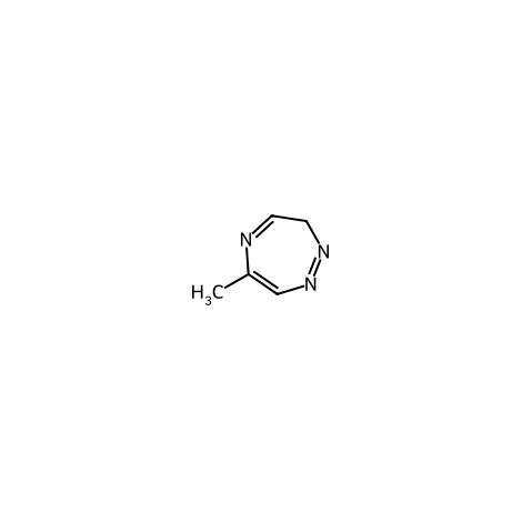 CC1=CN=NCC=N1